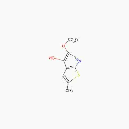 CCOC(=O)Oc1cnc2sc(C)cc2c1O